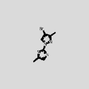 Cc1cnc(-n2cc(Br)c(C)n2)s1